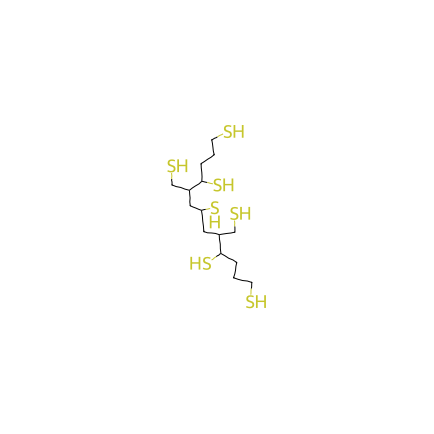 SCCCC(S)C(CS)CC(S)CC(CS)C(S)CCCS